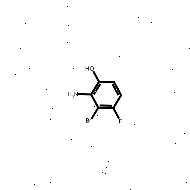 Nc1c(O)ccc(F)c1Br